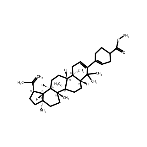 C=C(C)[C@@H]1CC[C@]2(N)CC[C@]3(C)[C@H](CC[C@@H]4[C@@]5(C)CC=C(C6=CCC(C(=O)OP)CC6)C(C)(C)[C@@H]5CC[C@]43C)[C@@H]12